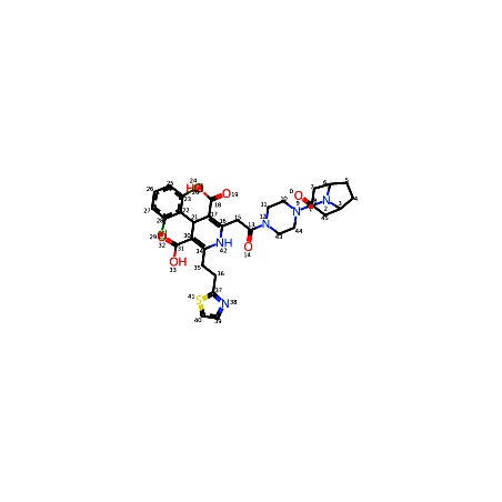 O=CN1C2CCC1CC(N1CCN(C(=O)CC3=C(C(=O)O)C(c4c(Cl)cccc4Cl)C(C(=O)O)=C(CCc4nccs4)N3)CC1)C2